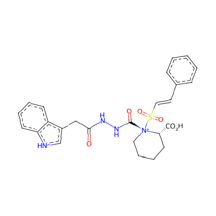 O=C(Cc1c[nH]c2ccccc12)NNC(=O)[N@+]1(S(=O)(=O)/C=C/c2ccccc2)CCCC[C@H]1C(=O)O